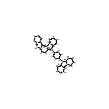 c1ccc2c(c1)sc1ccc3c(c4ccccc4n3-c3ccc(-n4c5ccccc5c5ccccc54)cc3)c12